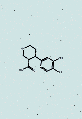 O=C(O)C1CNCCC1c1ccc(O)c(O)c1